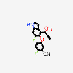 C#CC(O)c1c(Oc2ccc(F)c(C#N)c2)c(F)cc2[nH]ccc12